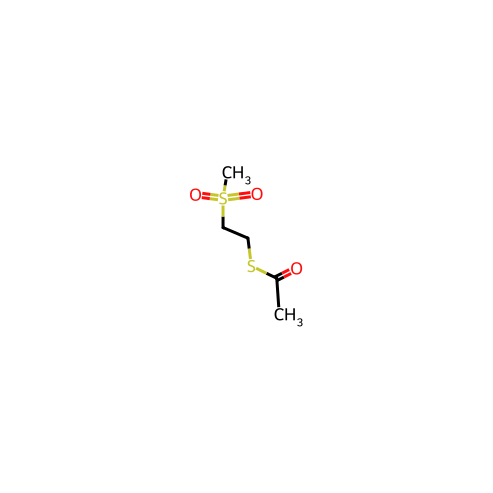 CC(=O)SCCS(C)(=O)=O